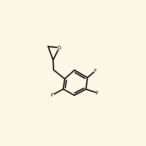 Fc1cc(F)c(CC2CO2)cc1F